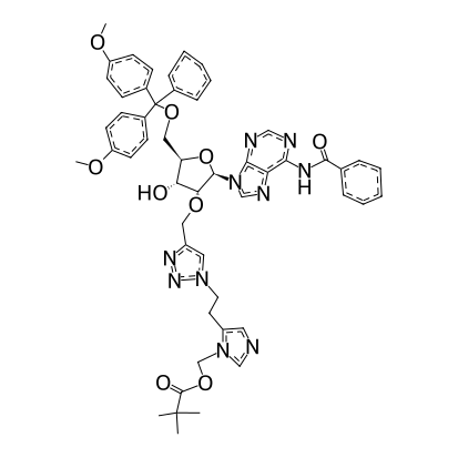 COc1ccc(C(OC[C@H]2O[C@@H](n3cnc4c(NC(=O)c5ccccc5)ncnc43)[C@H](OCc3cn(CCc4cncn4COC(=O)C(C)(C)C)nn3)[C@@H]2O)(c2ccccc2)c2ccc(OC)cc2)cc1